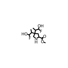 COC(=O)C1CC(C(C)C(O)F)(C(C)C(O)F)CN1